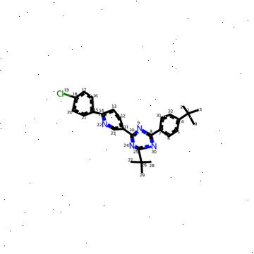 CC(C)(C)c1ccc(-c2nc(-c3ccc(-c4ccc(Cl)cc4)nc3)nc(C(C)(C)C)n2)cc1